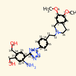 COc1cc2c(cc1OC)CN(CCc1ccc(-n3nnc(-c4cc(CO)c(CO)cc4N)n3)cc1)CC2